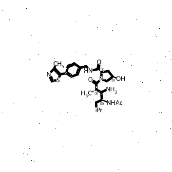 CC(=O)N[C@@H](CC(C)C)C(N)[C@H](C)C(=O)N1C[C@H](O)C[C@H]1C(=O)NCc1ccc(-c2scnc2C)cc1